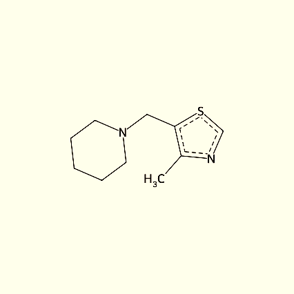 Cc1ncsc1CN1CCCCC1